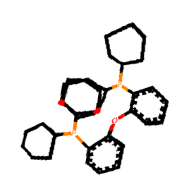 c1ccc(P(C2CCCCC2)C2CCCCC2)c(Oc2ccccc2P(C2CCCCC2)C2CCCCC2)c1